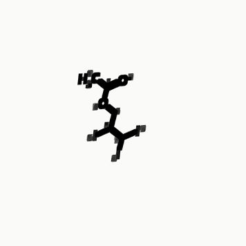 CC(=O)OCC(I)C(I)I